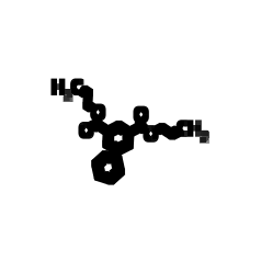 C=CCOC(=O)c1cccc(C(=O)OCC=C)c1.c1ccccc1